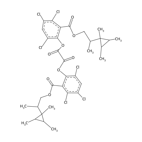 CC(COC(=O)c1c(Cl)c(Cl)cc(Cl)c1OC(=O)C(=O)Oc1c(Cl)cc(Cl)c(Cl)c1C(=O)OCC(C)C1(C)C(C)C1C)C1(C)C(C)C1C